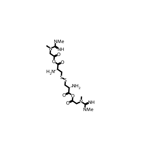 CNC(=N)N(C)CC(=O)OC(=O)[C@@H](N)CSSC[C@H](N)C(=O)OC(=O)CN(C)C(=N)NC